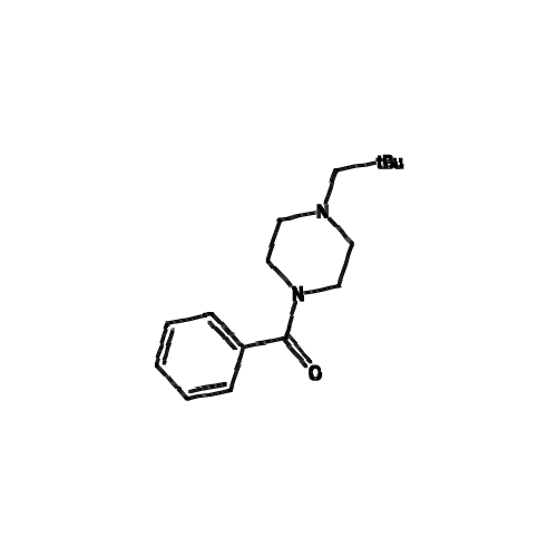 CC(C)(C)CN1CCN(C(=O)c2ccccc2)CC1